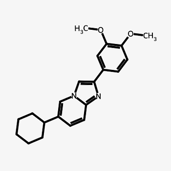 COc1ccc(-c2cn3cc(C4CCCCC4)ccc3n2)cc1OC